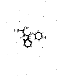 NC(=O)c1sc2ccccc2c1OC1CCNCC1